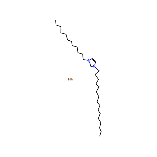 Br.CCCCCCCCCCCCCCCCN1C=CN(CCCCCCCCCCCC)C1